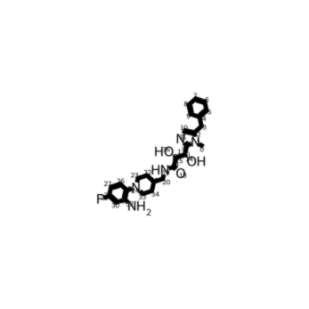 Cn1c(Cc2ccccc2)cnc1[C@H](O)[C@@H](O)C(=O)NCC1CCN(c2ccc(F)cc2N)CC1